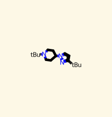 CC(C)(C)c1ccn(C2CCN(C(C)(C)C)CC2)n1